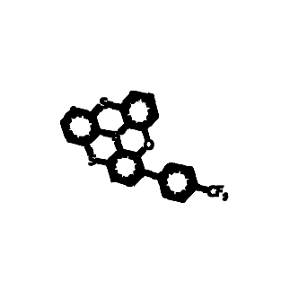 FC(F)(F)c1ccc(-c2ccc3c4c2Oc2cccc5c2B4c2c(cccc2S3)S5)cc1